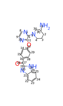 N[C@@H]1CCCN(c2nccnc2Oc2ccc(C(=O)c3nc4ccccc4[nH]3)cc2)C1